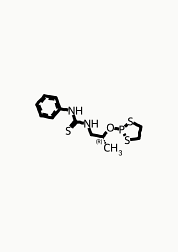 C[C@H](CNC(=S)Nc1ccccc1)OP1SCCS1